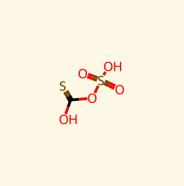 O=S(=O)(O)OC(O)=S